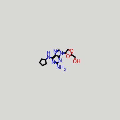 Nc1nc(NC2CCCC2)c2ncn(C3COC(CO)O3)c2n1